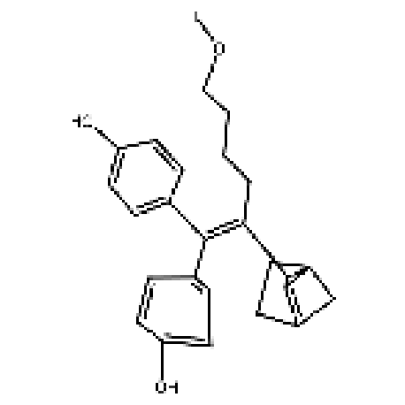 Oc1ccc(C(=C(CCCCOI)C2C3=C4CCC32C4)c2ccc(O)cc2)cc1